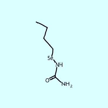 CCCC[Se]NC(N)=O